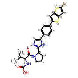 CC(C)[C@H](NC(=O)O)C(=O)N1CCCC1c1ncc(-c2ccc(-c3cc4sc(Br)cc4s3)cc2)[nH]1